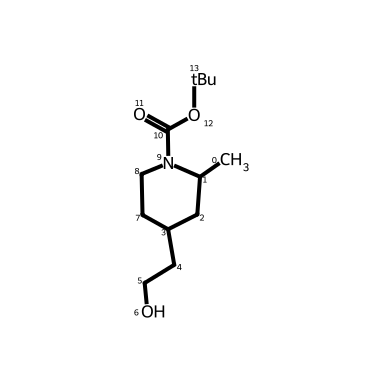 CC1CC(CCO)CCN1C(=O)OC(C)(C)C